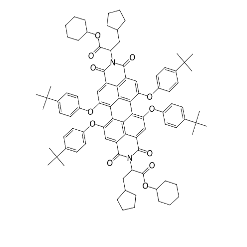 CC(C)(C)c1ccc(Oc2cc3c4c(cc(Oc5ccc(C(C)(C)C)cc5)c5c6c(Oc7ccc(C(C)(C)C)cc7)cc7c8c(cc(Oc9ccc(C(C)(C)C)cc9)c(c2c45)c86)C(=O)N(C(CC2CCCC2)C(=O)OC2CCCCC2)C7=O)C(=O)N(C(CC2CCCC2)C(=O)OC2CCCCC2)C3=O)cc1